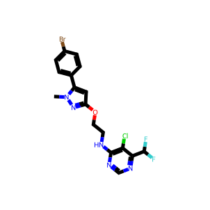 Cn1nc(OCCNc2ncnc(C(F)F)c2Cl)cc1-c1ccc(Br)cc1